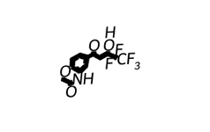 O=C1COc2ccc(C(=O)/C=C(\O)C(F)(F)C(F)(F)F)cc2N1